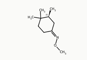 CON=C1CCC(C)(C)[C@@H](C)C1